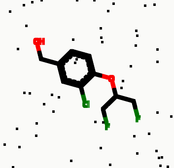 OCc1ccc(OC(CF)CF)c(Cl)c1